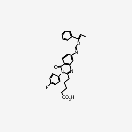 C/C=C(\O/C=N/c1ccc2c(=O)n(-c3ccc(F)cc3)c(CCCCC(=O)O)nc2c1)c1ccccc1